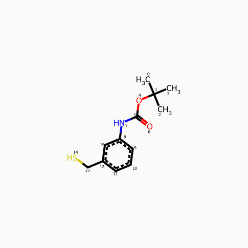 CC(C)(C)OC(=O)Nc1cccc(CS)c1